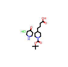 CC(C)(C)OC(=O)N1CCC(CCCC(=O)O)CC1.Cl.O=C1CCNCC1